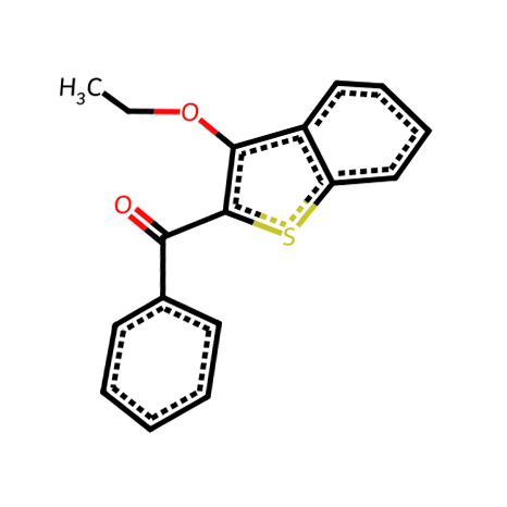 CCOc1c(C(=O)c2ccccc2)sc2ccccc12